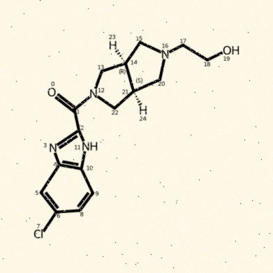 O=C(c1nc2cc(Cl)ccc2[nH]1)N1C[C@H]2CN(CCO)C[C@H]2C1